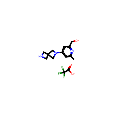 Cc1cc(N2CC3(CNC3)C2)cc(CO)n1.O=C(O)C(F)(F)F